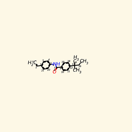 C=Cc1ccc(NC(=O)c2ccc(C(C)(C)CC)cc2)cc1